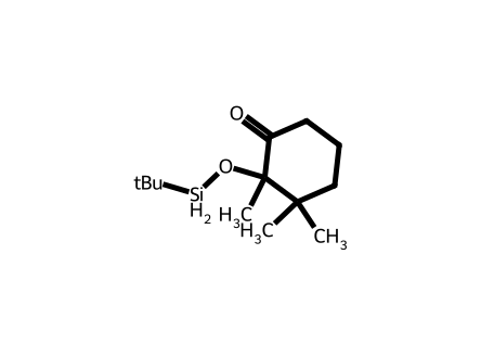 CC(C)(C)[SiH2]OC1(C)C(=O)CCCC1(C)C